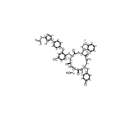 C[C@H]1C[C@H]([C@@H]2CC(=O)N(Cc3ccc(Cl)cc3Oc3ccc(-c4cnc(CN(C)C)n4C)cc3)[C@@H](C)C(=O)N[C@@H](CO)C(=O)N(C)[C@H](Cc3ccc(Cl)cc3)CN(C)C2=O)c2ccccc21